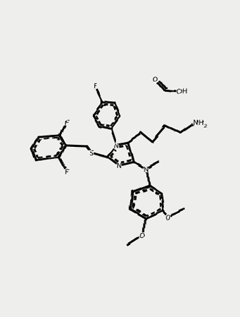 COc1ccc(N(C)c2nc(SCc3c(F)cccc3F)n(-c3ccc(F)cc3)c2CCCCN)cc1OC.O=CO